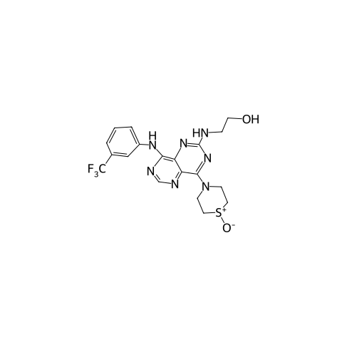 [O-][S+]1CCN(c2nc(NCCO)nc3c(Nc4cccc(C(F)(F)F)c4)ncnc23)CC1